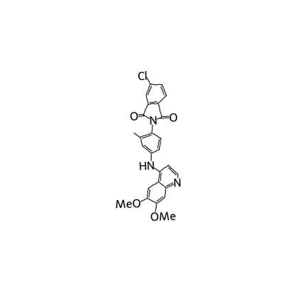 COc1cc2nccc(Nc3ccc(N4C(=O)c5ccc(Cl)cc5C4=O)c(C)c3)c2cc1OC